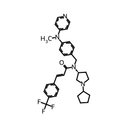 CN(c1ccncc1)c1ccc(CN(C(=O)C=Cc2ccc(C(F)(F)F)cc2)[C@H]2CCN(C3CCCC3)C2)cc1